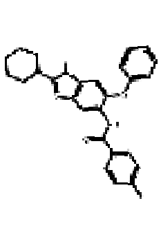 Cc1ccc(C(=O)Nc2cc3nc(C4CCCCC4)[nH]c3cc2Oc2ccccc2)cc1